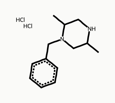 CC1CN(Cc2ccccc2)C(C)CN1.Cl.Cl